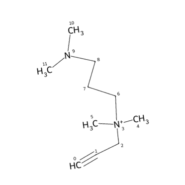 C#CC[N+](C)(C)CCCN(C)C